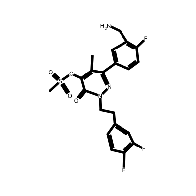 Cc1c(-c2ccc(F)c(CN)c2)nn(CCc2ccc(F)c(F)c2)c(=O)c1OS(C)(=O)=O